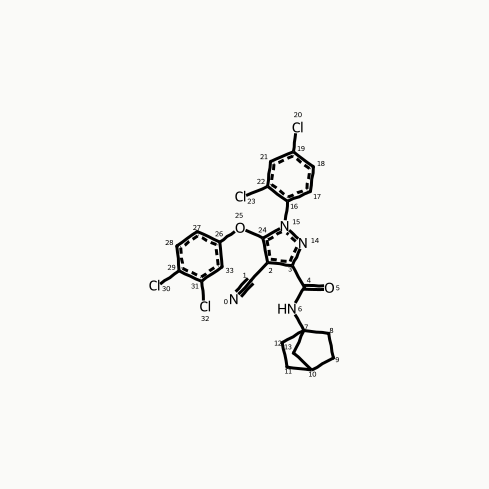 N#Cc1c(C(=O)NC23CCC(CC2)C3)nn(-c2ccc(Cl)cc2Cl)c1Oc1ccc(Cl)c(Cl)c1